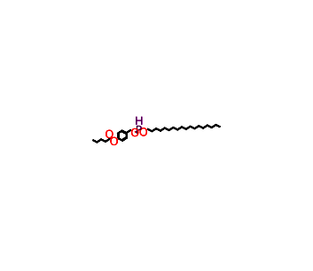 CCCCCCCCCCCCCCCCCCOPOCc1ccc(OC(=O)CCCC)cc1